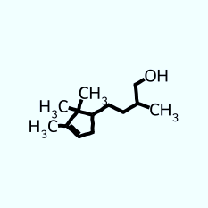 CC1=CCC(CCC(C)CO)C1(C)C